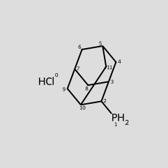 Cl.PC1C2CC3CC(C2)CC1C3